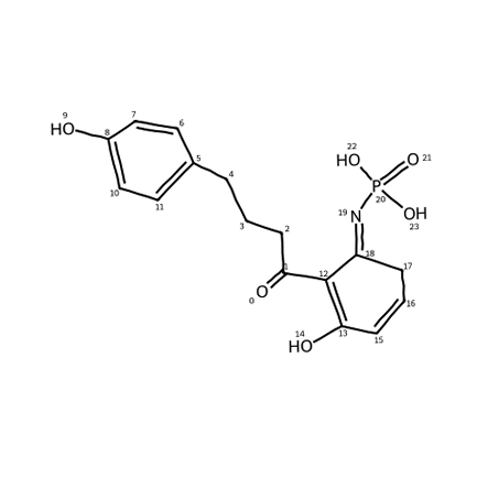 O=C(CCCc1ccc(O)cc1)C1=C(O)C=CCC1=NP(=O)(O)O